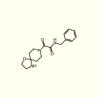 O=C(NCc1ccccc1)C(=O)N1CCC2(CC1)NCCO2